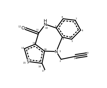 C#CCN1c2ccccc2NC(=O)c2csc(C)c21